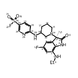 CCNc1cc(F)cc2c1NC(=O)[C@]2(C)N1CCCC(Nc2ccc(S(=O)(=O)F)cn2)C1